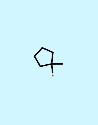 CC1(F)CCCC1